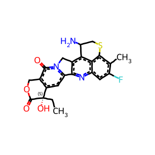 CC[C@@]1(O)C(=O)OCc2c1cc1n(c2=O)Cc2c-1nc1cc(F)c(C)c3c1c2C(N)CS3